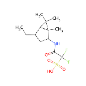 CCC1CC(NC(=O)C(F)(F)S(=O)(=O)O)C2(C)C1C2(C)C